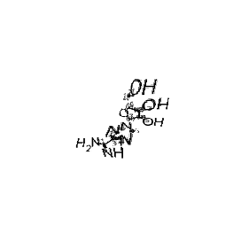 N=C(N)c1ncn([C@@H]2O[C@H](CO)[C@@H](O)[C@H]2O)n1